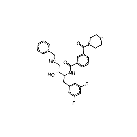 O=C(N[C@@H](Cc1cc(F)cc(F)c1)[C@H](O)CNCc1ccccc1)c1cccc(C(=O)N2CCOCC2)c1